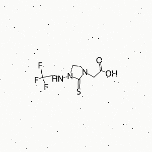 O=C(O)CN1CCN(NCC(F)(F)F)C1=S